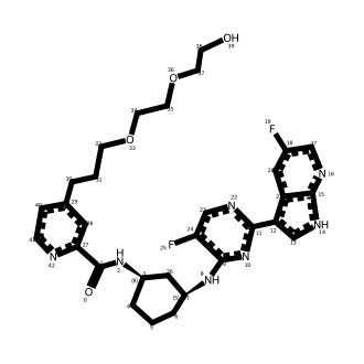 O=C(N[C@@H]1CCC[C@H](Nc2nc(-c3c[nH]c4ncc(F)cc34)ncc2F)C1)c1cc(CCCOCCOCCO)ccn1